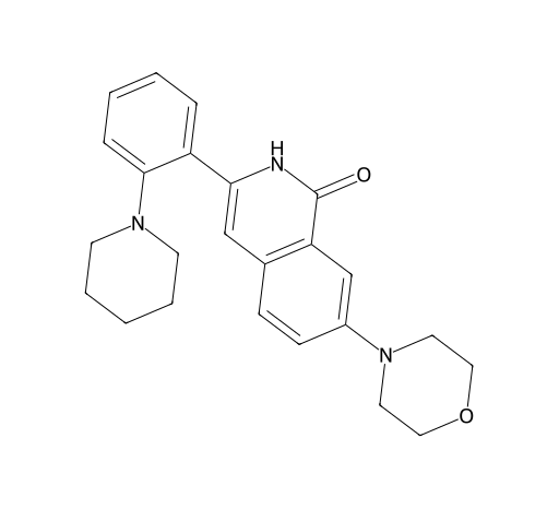 O=c1[nH]c(-c2ccccc2N2CCCCC2)cc2ccc(N3CCOCC3)cc12